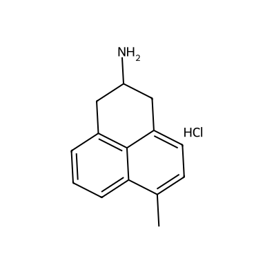 Cc1ccc2c3c(cccc13)CC(N)C2.Cl